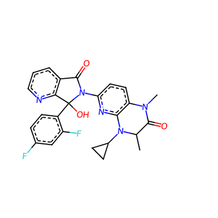 CC1C(=O)N(C)c2ccc(N3C(=O)c4cccnc4C3(O)c3ccc(F)cc3F)nc2N1C1CC1